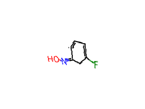 ON=C1[C]=CC=C(F)C1